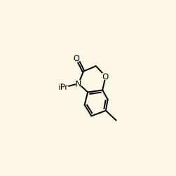 Cc1ccc2c(c1)OCC(=O)N2C(C)C